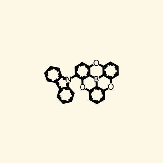 c1cc2c3c(c1)Oc1ccc(-n4c5ccccc5c5ccccc54)c4c1B3c1c(cccc1O4)O2